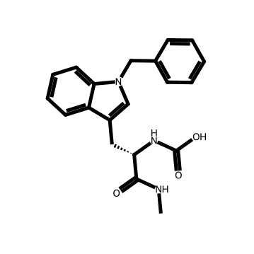 CNC(=O)[C@H](Cc1cn(Cc2ccccc2)c2ccccc12)NC(=O)O